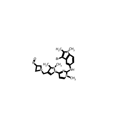 Cc1c(Br)c2cc(NC3N=C(N4C=C(CN5CC(N=O)C5)C(C)N4C)C=CN3C)ccc2n1C